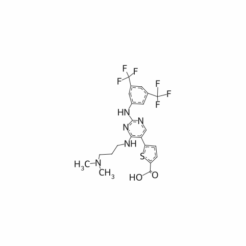 CN(C)CCCNc1nc(Nc2cc(C(F)(F)F)cc(C(F)(F)F)c2)ncc1-c1ccc(C(=O)O)s1